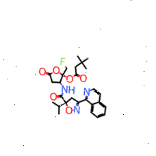 CC(C)[C@@]1(C(=O)N[C@H]2CC(=O)OC2(CF)OC(=O)CC(C)(C)C)CC(c2nccc3ccccc23)=NO1